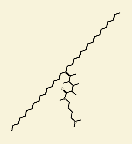 CCCCCCCCCCCCCCCCC(CCCCCCCCCCCCCCCC)=C(C)C(C)C(C)C(C)C(=O)N(C)CCCCN(C)C